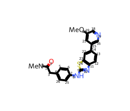 CNC(=O)Cc1ccc(Nc2nc3ccc(-c4cncc(OC)c4)cc3s2)cc1